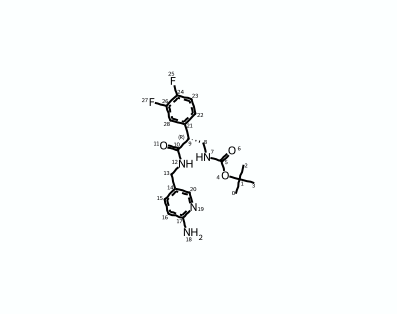 CC(C)(C)OC(=O)NC[C@H](C(=O)NCc1ccc(N)nc1)c1ccc(F)c(F)c1